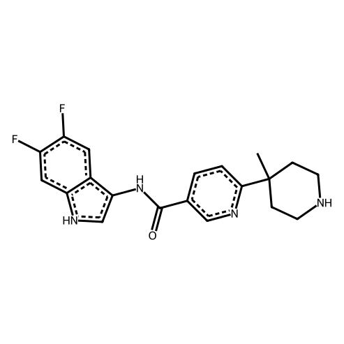 CC1(c2ccc(C(=O)Nc3c[nH]c4cc(F)c(F)cc34)cn2)CCNCC1